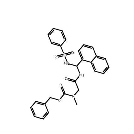 CN(CC(=O)NC(NS(=O)(=O)c1ccccc1)c1cccc2ccccc12)C(=O)OCc1ccccc1